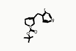 CC(C)(C)OC(=O)N1CCCC(Cc2ccncc2F)C1